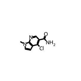 Cn1ccc2c(Cl)c(C(N)=O)cnc21